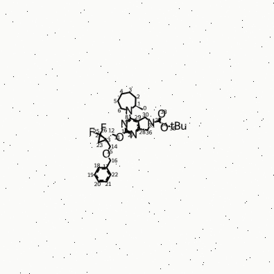 C[C@@H]1CCCCCN1c1nc(OC[C@]2(COCc3ccccc3)CC2(F)F)nc2c1CN(C(=O)OC(C)(C)C)C2